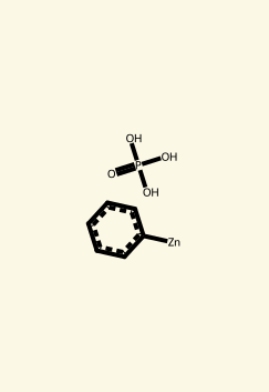 O=P(O)(O)O.[Zn][c]1ccccc1